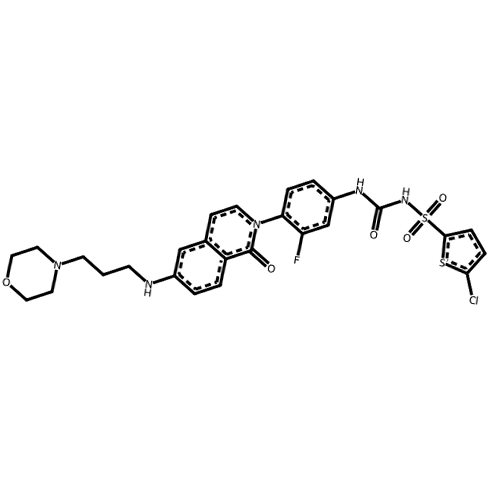 O=C(Nc1ccc(-n2ccc3cc(NCCCN4CCOCC4)ccc3c2=O)c(F)c1)NS(=O)(=O)c1ccc(Cl)s1